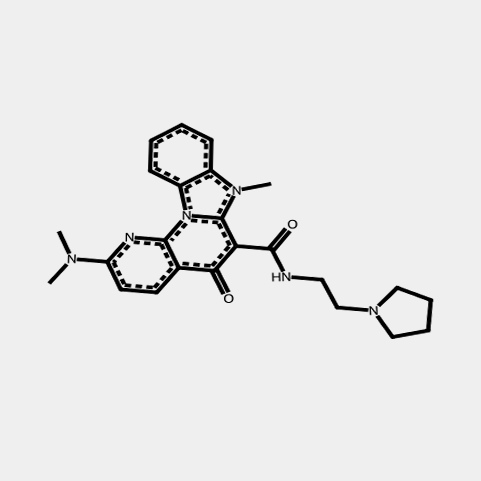 CN(C)c1ccc2c(=O)c(C(=O)NCCN3CCCC3)c3n(C)c4ccccc4n3c2n1